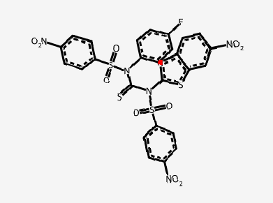 O=[N+]([O-])c1ccc(S(=O)(=O)N(C(=S)N(c2nc3ccc([N+](=O)[O-])cc3s2)S(=O)(=O)c2ccc([N+](=O)[O-])cc2)c2ccc(F)cc2)cc1